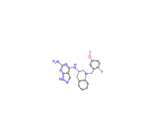 COc1ccc(F)c(CN2CC(Nc3nc(N)nc4[nH]ncc34)Cc3ccccc32)c1